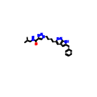 CC(C)CNC(=O)c1cn(CCCCc2cc3cc(Cc4ccccc4)[nH]c3nn2)nn1